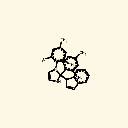 Cc1cc(C)c(N2C=CNC2(c2c(C)cc(C)cc2C)C2C=Cc3ccccc32)c(C)c1